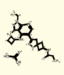 CCC(=O)NC1CC2(CC(c3cnc4c(c(C)nn4CC)c3NC3CCC3)=NO2)C1.O=C(O)O